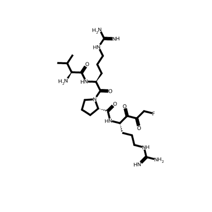 CC(C)[C@H](N)C(=O)N[C@@H](CCCNC(=N)N)C(=O)N1CCC[C@H]1C(=O)N[C@@H](CCCNC(=N)N)C(=O)C(=O)CF